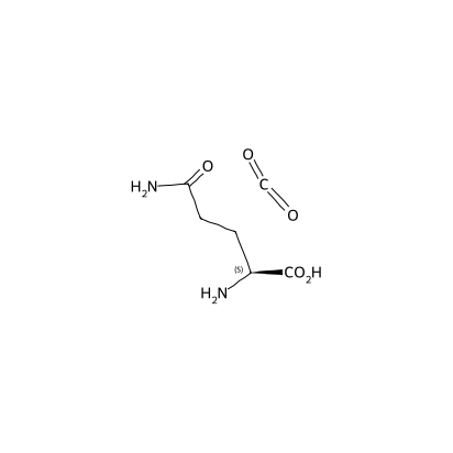 NC(=O)CC[C@H](N)C(=O)O.O=C=O